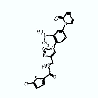 CN(C)c1cc(-n2ccccc2=O)ccc1-n1cc(CNC(=O)c2ccc(Cl)s2)nn1